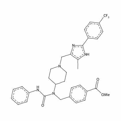 COC(=O)c1ccc(CN(C(=O)Nc2ccccc2)C2CCN(Cc3nc(-c4ccc(C(F)(F)F)cc4)[nH]c3C)CC2)cc1